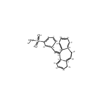 CNS(=O)(=O)c1cccc(C=C2C3=CC=CCC3=CCc3ccccc32)c1